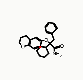 NC(=O)C(Cc1ccccc1)(Oc1ccc2c(c1)CCCO2)C1CCCCC1